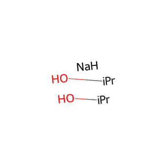 CC(C)O.CC(C)O.[NaH]